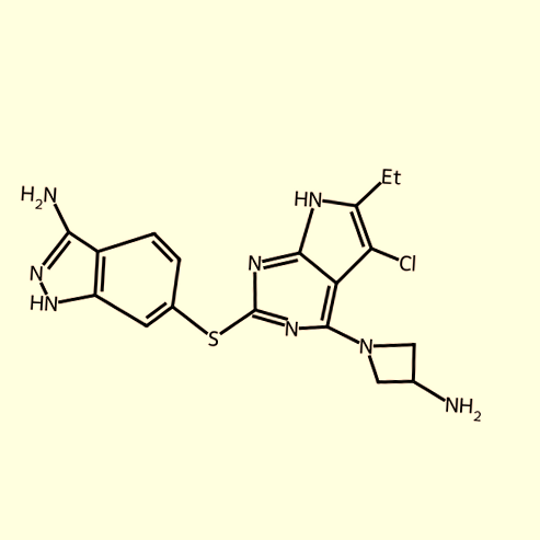 CCc1[nH]c2nc(Sc3ccc4c(N)n[nH]c4c3)nc(N3CC(N)C3)c2c1Cl